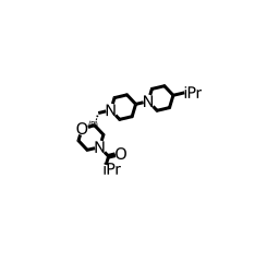 CC(C)C(=O)N1CCO[C@H](CN2CCC(N3CCC(C(C)C)CC3)CC2)C1